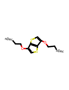 CCCCCCCCCCCCOc1csc2c(OCCCCCCCCCCCC)csc12